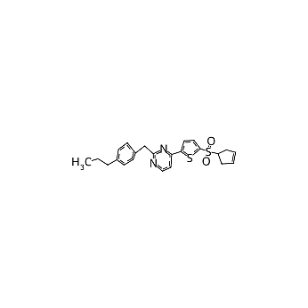 CCCc1ccc(Cc2nccc(-c3ccc(S(=O)(=O)C4CC=CC4)s3)n2)cc1